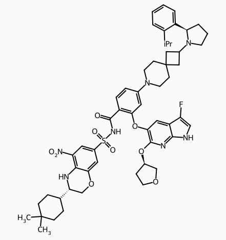 CC(C)c1ccccc1[C@H]1CCCN1C1CC2(CCN(c3ccc(C(=O)NS(=O)(=O)c4cc5c(c([N+](=O)[O-])c4)N[C@@H](C4CCC(C)(C)CC4)CO5)c(Oc4cc5c(F)c[nH]c5nc4O[C@@H]4CCOC4)c3)CC2)C1